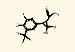 NC(=O)C1C(c2cc(F)c(Cl)c(C(F)(F)F)c2)C1(Cl)Cl